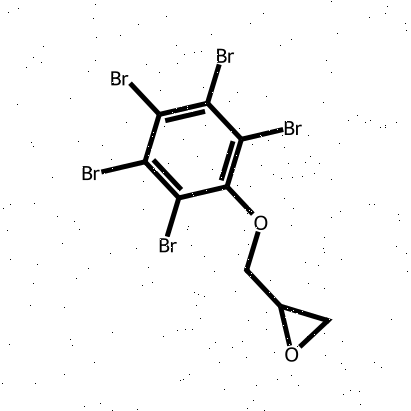 Brc1c(Br)c(Br)c(OCC2CO2)c(Br)c1Br